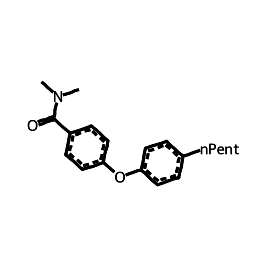 CCCCCc1ccc(Oc2ccc(C(=O)N(C)C)cc2)cc1